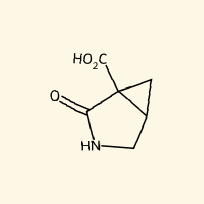 O=C(O)C12CC1CNC2=O